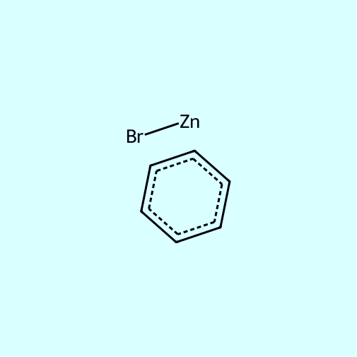 [Zn][Br].c1ccccc1